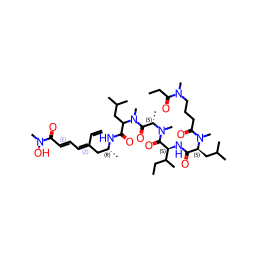 C=C/C(=C\C=C\C(=O)N(C)O)C[C@@H](C)NC(=O)C(CC(C)C)N(C)C(=O)[C@H](C)N(C)C(=O)[C@@H](NC(=O)[C@H](CC(C)C)N(C)C(=O)CCCN(C)C(=O)CC)C(C)CC